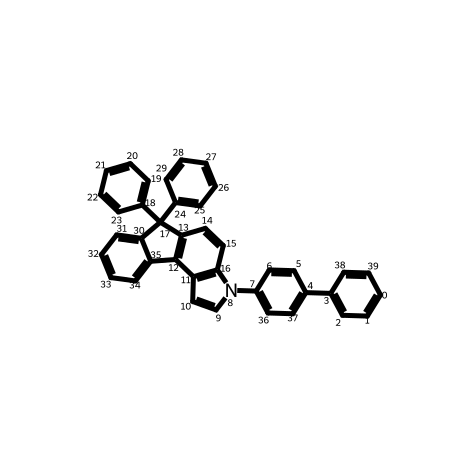 c1ccc(-c2ccc(-n3ccc4c5c(ccc43)C(c3ccccc3)(c3ccccc3)c3ccccc3-5)cc2)cc1